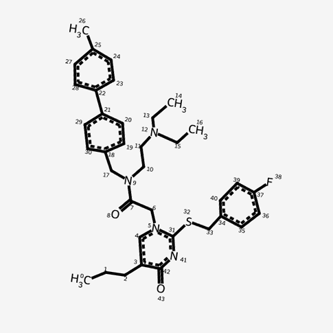 CCCc1cn(CC(=O)N(CCN(CC)CC)Cc2ccc(-c3ccc(C)cc3)cc2)c(SCc2ccc(F)cc2)nc1=O